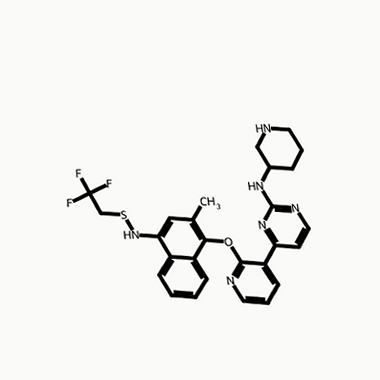 Cc1cc(NSCC(F)(F)F)c2ccccc2c1Oc1ncccc1-c1ccnc(NC2CCCNC2)n1